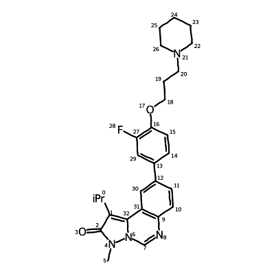 CC(C)c1c(=O)n(C)n2cnc3ccc(-c4ccc(OCCCN5CCCCC5)c(F)c4)cc3c12